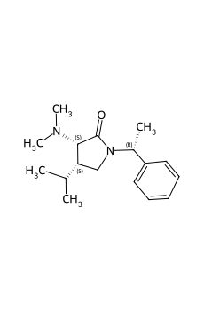 CC(C)[C@H]1CN([C@H](C)c2ccccc2)C(=O)[C@H]1N(C)C